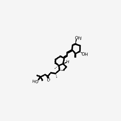 C=C1/C(=C\C=C2/CCC[C@]3(C)[C@@H]([C@H](C)CC(=O)CC(C)(C)O)CC[C@@H]23)C[C@@H](O)C[C@@H]1O